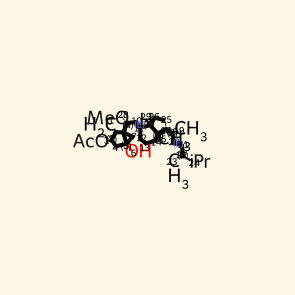 C=C1[C@@H](OC(C)=O)C[C@@]2(O)CC12[C@@H](/C=C1\CCC[C@]2(C)[C@@H]([C@H](C)/C=C/[C@H](C)C(C)C)CC[C@@H]12)OC